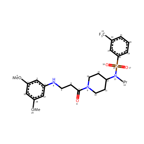 COc1cc(NCCC(=O)N2CCC(N(C(C)C)S(=O)(=O)c3cccc(C(F)(F)F)c3)CC2)cc(OC)c1